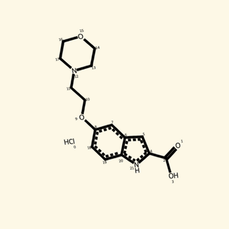 Cl.O=C(O)c1cc2cc(OCCN3CCOCC3)ccc2[nH]1